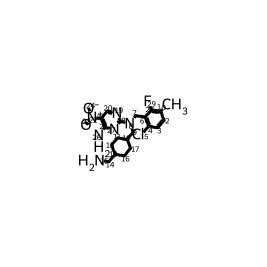 Cc1ccc(Cl)c(CN(CC2CCC(CN)CC2)c2ncc([N+](=O)[O-])c(N)n2)c1F